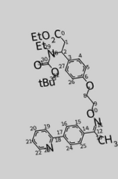 CCOC(=O)CC(c1ccc(OCCON=C(C)c2ccc(-c3ccccn3)cc2)cc1)N(CC)C(=O)OC(C)(C)C